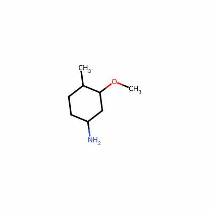 COC1CC(N)CCC1C